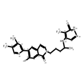 CC(CCCn1ccc2cc(-c3cc(N)c(C(F)(F)F)cn3)c(F)cc2c1=O)Nc1cn[nH]c(=O)c1C(F)(F)F